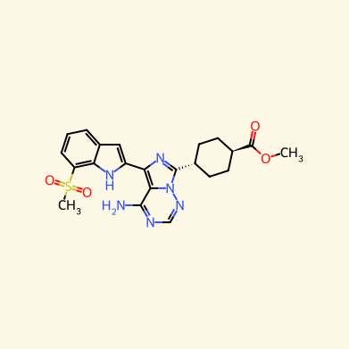 COC(=O)[C@H]1CC[C@H](c2nc(-c3cc4cccc(S(C)(=O)=O)c4[nH]3)c3c(N)ncnn32)CC1